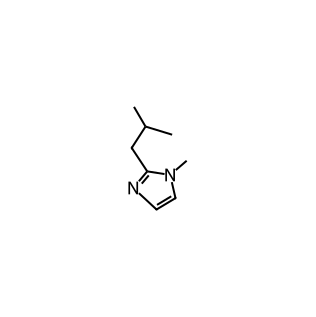 CC(C)Cc1nccn1C